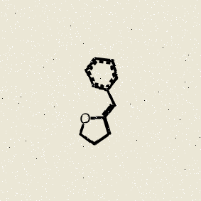 C(=C1CCCO1)c1ccccc1